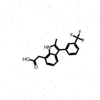 Cc1[nH]c2c(CC(=O)O)cccc2c1-c1cccc(C(F)(F)F)c1